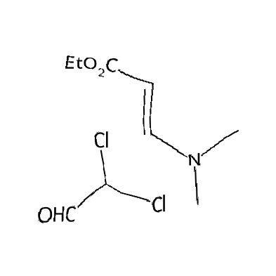 CCOC(=O)C=CN(C)C.O=CC(Cl)Cl